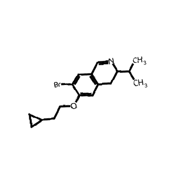 CC(C)C1Cc2cc(OCCC3CC3)c(Br)cc2C=N1